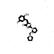 O=C1N=C(N2CCC[C@H]2CN2CCCC2)SC1=Cc1cc(F)ccc1O